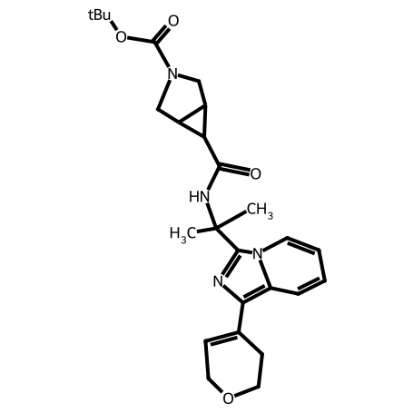 CC(C)(C)OC(=O)N1CC2C(C1)C2C(=O)NC(C)(C)c1nc(C2=CCOCC2)c2ccccn12